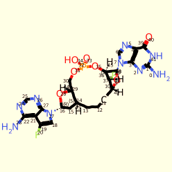 Nc1nc2c(ncn2[C@@H]2O[C@@H]3CCC[C@H]4C[C@H](n5cc(F)c6c(N)ncnc65)O[C@@H]4COP(=O)(O)O[C@@H]2[C@@H]3F)c(=O)[nH]1